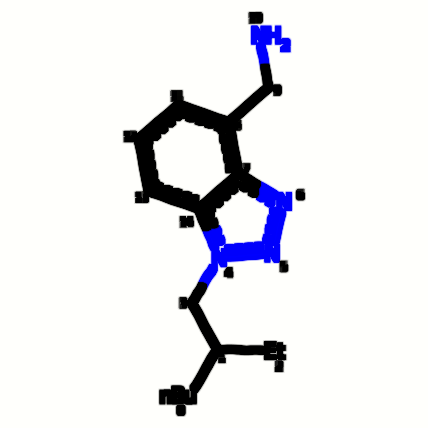 CCCCC(CC)Cn1nnc2c(CN)cccc21